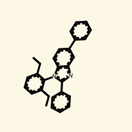 CCc1cccc(CC)c1-n1c(-c2ccccc2)nc2cc(-c3ccccc3)ccc21